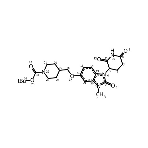 Cn1c(=O)n(C2CCC(=O)NC2=O)c2ccc(OCC3CCN(C(=O)OC(C)(C)C)CC3)cc21